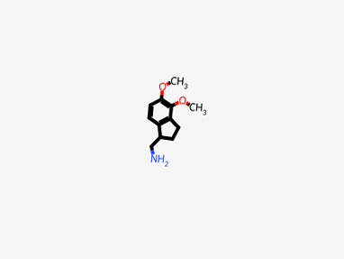 COc1ccc2c(c1OC)CCC2CN